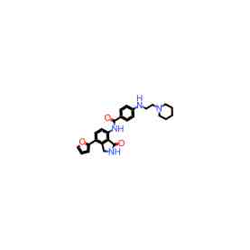 O=C(Nc1ccc(-c2ccco2)c2c1C(=O)NC2)c1ccc(NCCN2CCCCC2)cc1